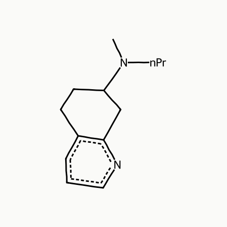 CCCN(C)C1CCc2cccnc2C1